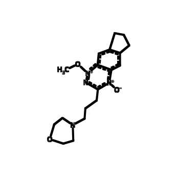 CO[n+]1nc(CCCN2CCOCC2)[n+]([O-])c2cc3c(cc21)CCC3